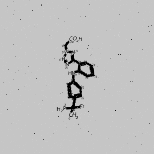 CC(F)(P)c1ccc(Nc2ccccc2-c2nnn(CC(=O)O)n2)cc1